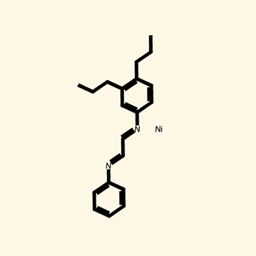 CCCc1ccc(N=CC=Nc2ccccc2)cc1CCC.[Ni]